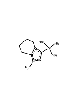 CCC[CH2][Sn]([CH2]CCC)([CH2]CCC)[c]1nn(C)c2c1CCCC2